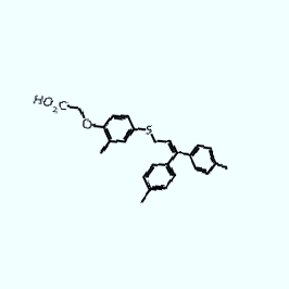 Cc1ccc(C(=CCSc2ccc(OCC(=O)O)c(C)c2)c2ccc(C)cc2)cc1